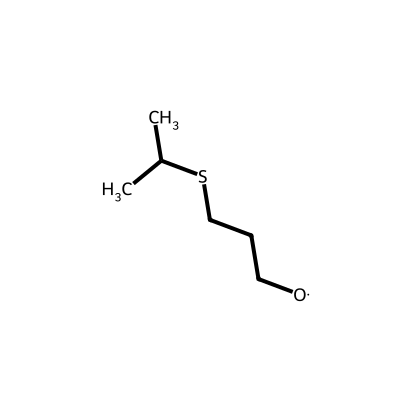 CC(C)SCCC[O]